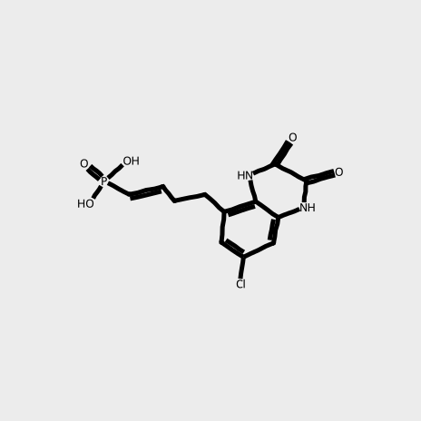 O=c1[nH]c2cc(Cl)cc(CCC=CP(=O)(O)O)c2[nH]c1=O